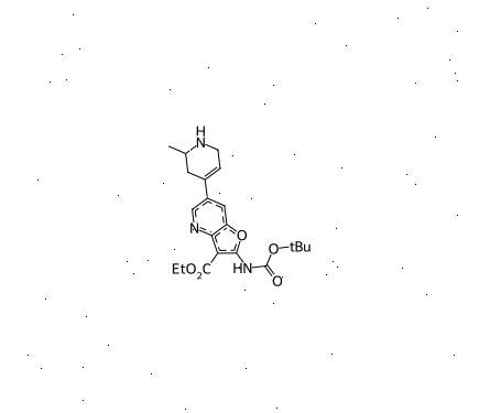 CCOC(=O)c1c(NC(=O)OC(C)(C)C)oc2cc(C3=CCNC(C)C3)cnc12